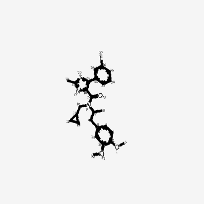 COc1ccc(CC(C)N(CC2CC2)C(=O)c2nc(C)sc2-c2cccc(F)c2)cc1OC